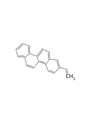 C=Cc1ccc2c(ccc3c4ccccc4ccc23)c1